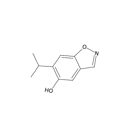 CC(C)c1cc2oncc2cc1O